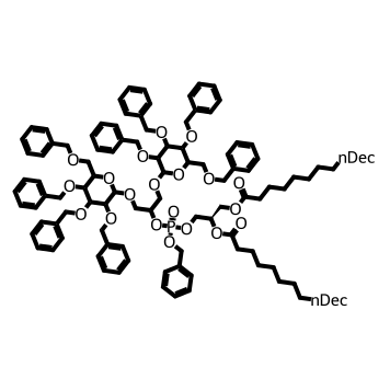 CCCCCCCCCCCCCCCCCC(=O)OC[C@H](COP(=O)(OCc1ccccc1)OC(COC1OC(COCc2ccccc2)C(OCc2ccccc2)C(OCc2ccccc2)C1OCc1ccccc1)COC1OC(COCc2ccccc2)C(OCc2ccccc2)C(OCc2ccccc2)C1OCc1ccccc1)OC(=O)CCCCCCCCCCCCCCCCC